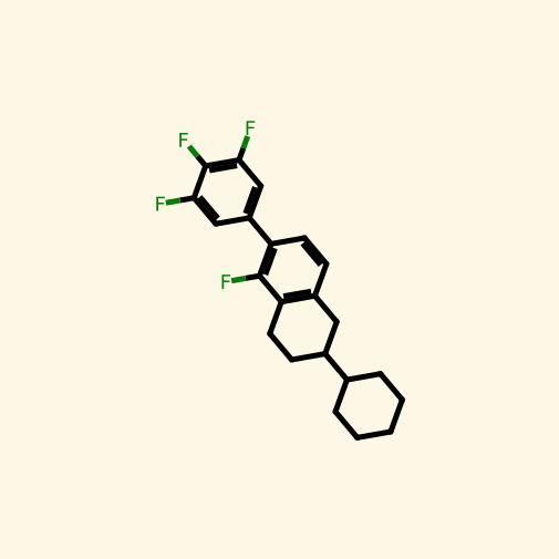 Fc1cc(-c2ccc3c(c2F)CCC(C2CCCCC2)C3)cc(F)c1F